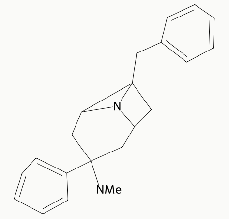 CNC1(c2ccccc2)CC2CC3(Cc4ccccc4)C(C1)N23